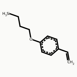 C=Cc1ccc(OCCC[SiH3])cc1